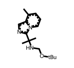 Cc1cccn2c(C(C)(C)NCOC(C)(C)C)ncc12